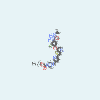 COCC(=O)N1CCN(Cc2ccc(-c3cc4nccc(Oc5ccc(NC(=O)NC6CC6)cc5F)c4s3)nc2)CC1